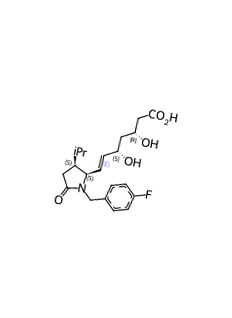 CC(C)[C@@H]1CC(=O)N(Cc2ccc(F)cc2)[C@@H]1/C=C/[C@@H](O)C[C@@H](O)CC(=O)O